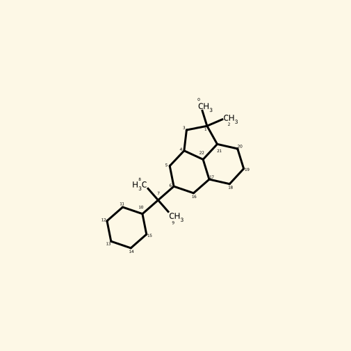 CC1(C)CC2CC(C(C)(C)C3CCCCC3)CC3CCCC1C32